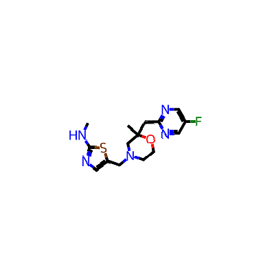 CNc1ncc(CN2CCOC(C)(Cc3ncc(F)cn3)C2)s1